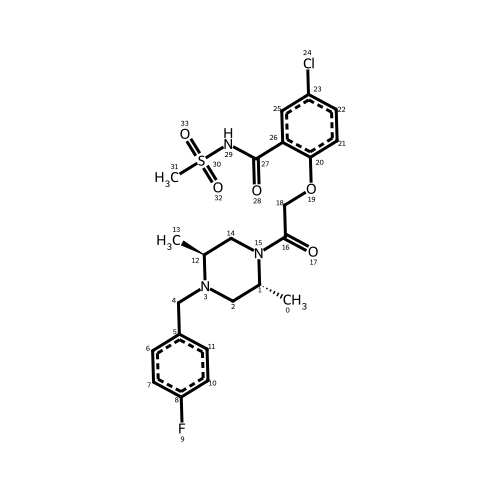 C[C@@H]1CN(Cc2ccc(F)cc2)[C@@H](C)CN1C(=O)COc1ccc(Cl)cc1C(=O)NS(C)(=O)=O